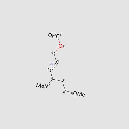 CNC(/C=C/COC=O)CCOC